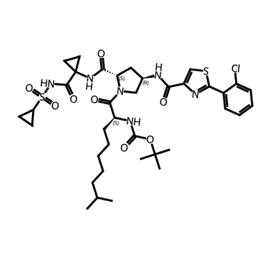 CC(C)CCCCC[C@H](NC(=O)OC(C)(C)C)C(=O)N1C[C@H](NC(=O)c2csc(-c3ccccc3Cl)n2)C[C@H]1C(=O)NC1(C(=O)NS(=O)(=O)C2CC2)CC1